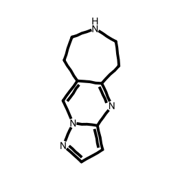 c1cc2nc3c(cn2n1)CCNCC3